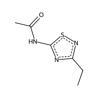 CCc1nsc(NC(C)=O)n1